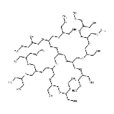 COCC(O)COC(COC(CO)COC)COC(COC(COC(CO)COC)COC(CO)COC(COC)COC(CO)COC)COC(COC(CO)COC(CO)COC)COC(COC(CO)CO)COC(CO)COC